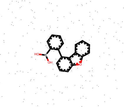 OB(O)c1ccccc1-c1cccc2oc3ccccc3c12